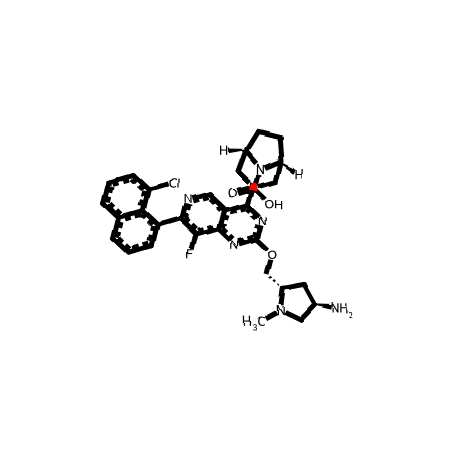 CN1C[C@H](N)C[C@H]1COc1nc(N2C[C@H]3CC[C@@H](C2)N3C(=O)O)c2cnc(-c3cccc4cccc(Cl)c34)c(F)c2n1